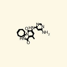 Cc1cc(Nc2cc(N)ncn2)c(=O)n2c1C(=O)NC21CCC=CCC1